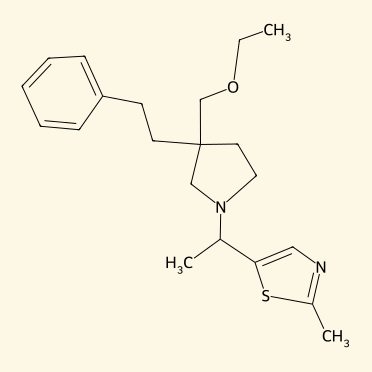 CCOCC1(CCc2ccccc2)CCN(C(C)c2cnc(C)s2)C1